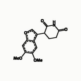 COc1cc2occ(C3CCC(=O)NC3=O)c2cc1OC